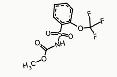 COC(=O)NS(=O)(=O)c1ccccc1OC(F)(F)F